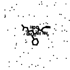 C#CC[C@@H](N)C(=O)N[C@@H](CC1CCCCC1)[C@@H](O)[C@@H](O)CC(C)C